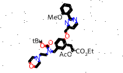 CCOC(=O)[C@@H](Cc1cc(CN(CCN2CCOCC2)C(=O)OC(C)(C)C)ccc1OCc1ccnc(-c2ccccc2OC)n1)OC(C)=O